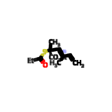 C=C/C(C)=C/[C@@](C)(SC(=O)CC)C(=O)OCC